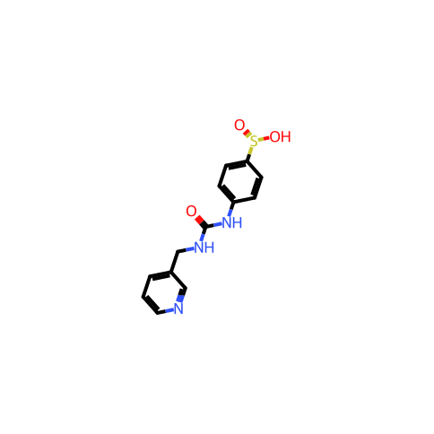 O=C(NCc1cccnc1)Nc1ccc(S(=O)O)cc1